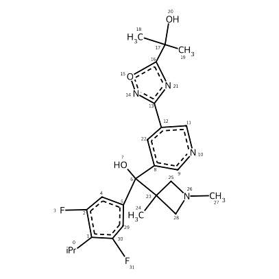 CC(C)c1c(F)cc(C(O)(c2cncc(-c3noc(C(C)(C)O)n3)c2)C2(C)CN(C)C2)cc1F